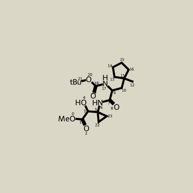 COC(=O)C(O)C1(NC(=O)C(CC2(C)CCCC2)NC(=O)OC(C)(C)C)CC1